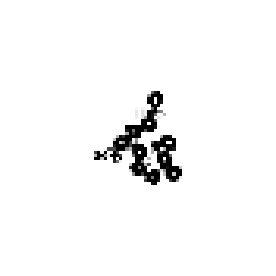 CC(C)COC(=O)c1ccc2c3ccc(-c4cccc(NC(=O)C5CCCCC5)c4)cc3n(-c3ccc4oc5c(-c6cccc(-n7c8ccccc8c8ccc(NC(=O)C9CCCCC9)cc87)c6)cccc5c4c3)c2c1